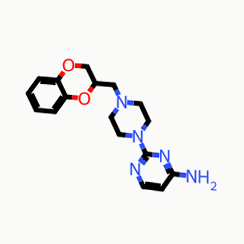 Nc1ccnc(N2CCN(CC3COc4ccccc4O3)CC2)n1